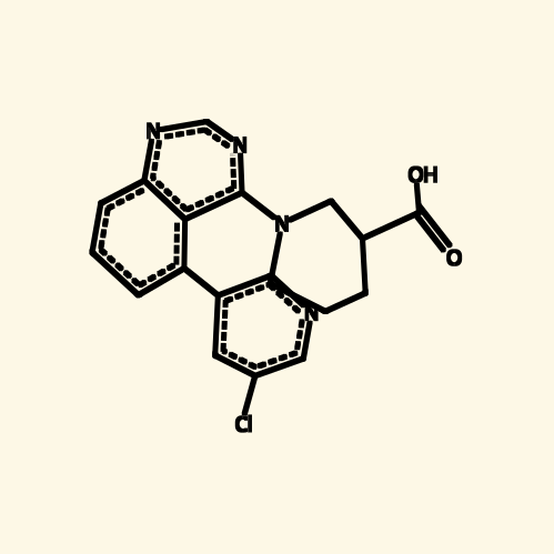 O=C(O)C1CCCN(c2ncnc3cccc(-c4cncc(Cl)c4)c23)C1